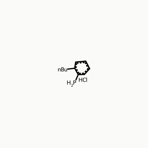 CCCCc1ccccc1P.Cl